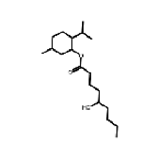 CCCCC(O)CCCC(=O)OC1CC(C)CCC1C(C)C